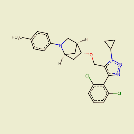 O=C(O)c1ccc(N2C[C@@H]3C[C@H]2C[C@H]3OCc2c(-c3c(Cl)cccc3Cl)nnn2C2CC2)cc1